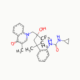 Cc1cn(CC(O)(CC(C)(C)c2ccccc2NC(=O)NC2CC2)C(F)(F)F)c2ccccc2c1=O